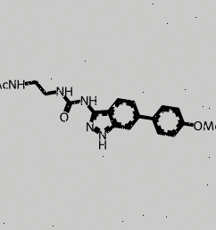 COc1ccc(-c2ccc3c(NC(=O)NCCNC(C)=O)n[nH]c3c2)cc1